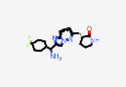 NC(c1cn2nc(C[C@H]3CCCNC3=O)ccc2n1)C1CCC(F)(F)CC1